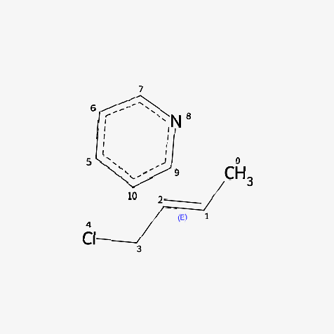 C/C=C/CCl.c1ccncc1